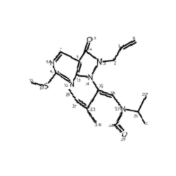 C=CCn1c(=O)c2cnc(SC)nc2n1C(=C/N(C=O)C(C)C)/C(C)=C\C